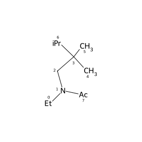 CCN(CC(C)(C)C(C)C)C(C)=O